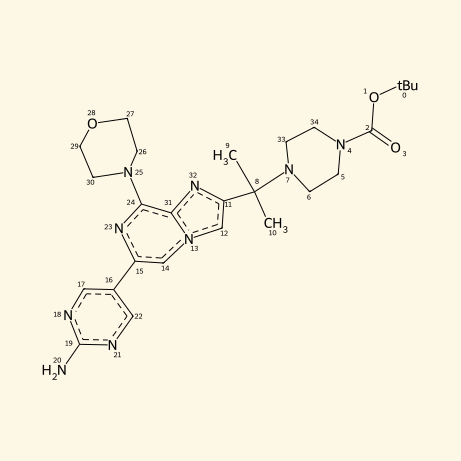 CC(C)(C)OC(=O)N1CCN(C(C)(C)c2cn3cc(-c4cnc(N)nc4)nc(N4CCOCC4)c3n2)CC1